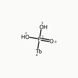 O=[P](O)(O)[Tb]